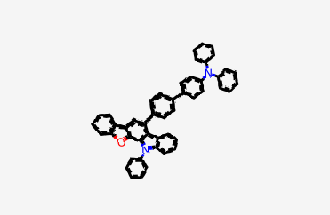 c1ccc(N(c2ccccc2)c2ccc(-c3ccc(-c4cc5c6ccccc6oc5c5c4c4ccccc4n5-c4ccccc4)cc3)cc2)cc1